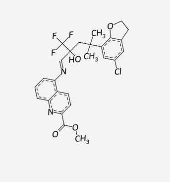 COC(=O)c1ccc2c(N=CC(O)(CC(C)(C)c3cc(Cl)cc4c3OCC4)C(F)(F)F)cccc2n1